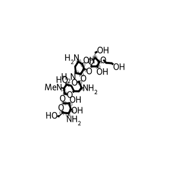 CN[C@@H]1[C@@H](O[C@H]2O[C@H](CO)[C@@H](N)[C@H](O)[C@H]2O)OC2C[C@@H](N)[C@@H](O[C@H]3[C@H](OC4O[C@H](CO)[C@@H](OCCO)[C@H]4O)[C@@H](O)[C@H](N)C[C@@H]3N)OC2[C@@H]1O